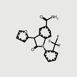 NC(=O)c1ccc2c(c1)C(c1ccco1)C(=O)N2c1ccccc1C(F)(F)F